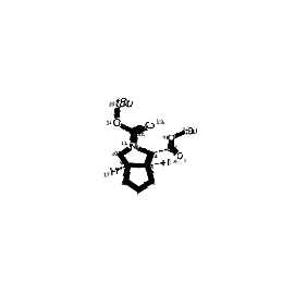 CC(C)(C)OC(=O)[C@@H]1[C@H]2CCC[C@H]2CN1C(=O)OC(C)(C)C